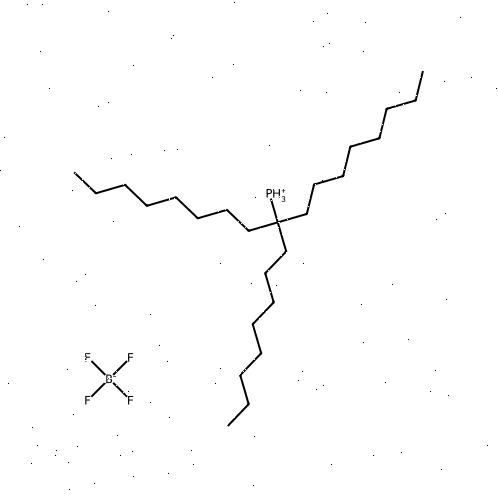 CCCCCCCCC([PH3+])(CCCCCCCC)CCCCCCCC.F[B-](F)(F)F